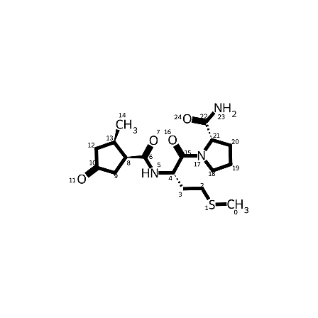 CSCC[C@H](NC(=O)[C@H]1CC(=O)C[C@H]1C)C(=O)N1CCC[C@H]1C(N)=O